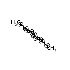 C=CC(=O)OCCCCOC(=O)Oc1ccc(C(=O)OC2COC3C2OC[C@@H]3OC(=O)c2ccc(OC(=O)OCCCCOC(=O)C=C)cc2)cc1